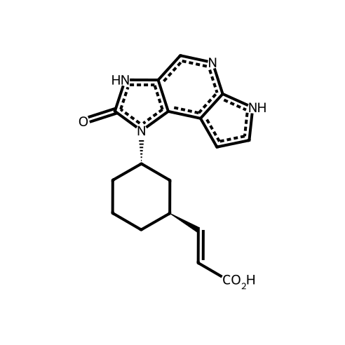 O=C(O)/C=C/[C@H]1CCC[C@H](n2c(=O)[nH]c3cnc4[nH]ccc4c32)C1